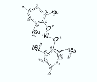 Cc1cc(C(C)(C)C)c([O][Al][O]c2c(C(C)(C)C)cc(C)cc2C(C)(C)C)c(C(C)(C)C)c1